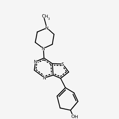 CN1CCN(c2ncnc3c(C4=CCC(O)C=C4)csc23)CC1